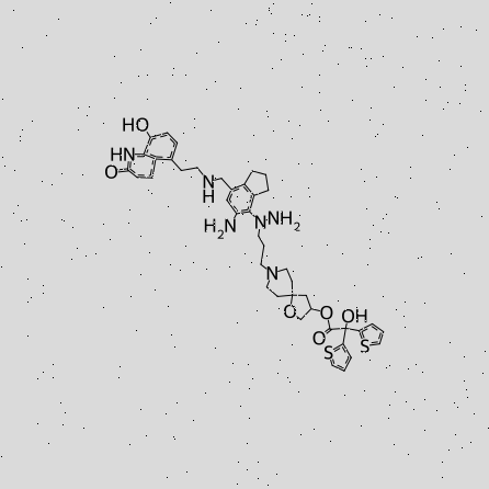 Nc1cc(CNCCc2ccc(O)c3[nH]c(=O)ccc23)c2c(c1N(N)CCCN1CCC3(CC1)CC(OC(=O)C(O)(c1cccs1)c1cccs1)CO3)CCC2